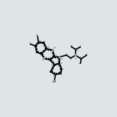 Cc1cc2nc3c4cc(Br)ccc4n(CCN(C(C)C)C(C)C)c3nc2cc1C